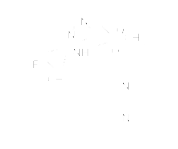 COc1cc2ncnc(Nc3ccc(F)c(C)c3)c2cc1OCCCN1CCC2CNCCC21